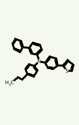 CCCc1ccc(N(c2ccc(-c3cccs3)cc2)c2cccc(-c3ccccc3)c2)cc1